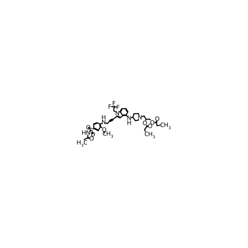 CCC(=O)NS(=O)(=O)c1ccc(NCC#Cc2cc3c(NC4CCN(CC(COC(=O)CC)OC(=O)CC)CC4)cccc3n2CC(F)(F)F)c(OC)c1